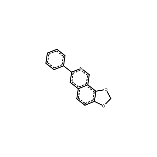 c1ccc(-c2cc3ccc4c(c3cn2)OCO4)cc1